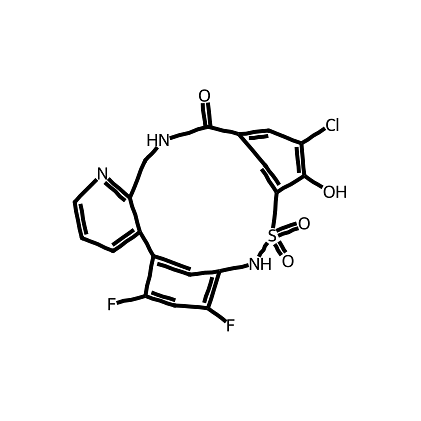 O=C1NCc2ncccc2-c2cc(c(F)cc2F)NS(=O)(=O)c2cc1cc(Cl)c2O